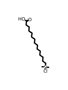 C[Si](C)(Cl)CCCCCCCCCCCCCCC(=O)O